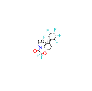 O=C(O)CN1C(=O)C(F)(F)Oc2ccc(-c3c(F)c(F)c(F)c(F)c3F)cc21